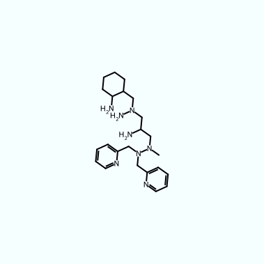 CN(CC(N)CN(N)CC1CCCCC1N)N(Cc1ccccn1)Cc1ccccn1